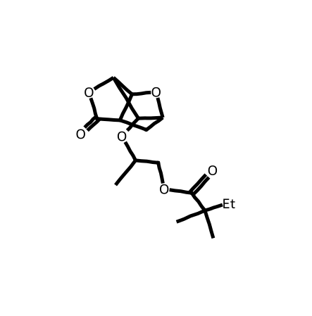 CCC(C)(C)C(=O)OCC(C)OC1C2CC3C(=O)OC1C3O2